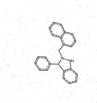 c1ccc(C2c3ccccc3NN2Cc2cccc3ccccc23)cc1